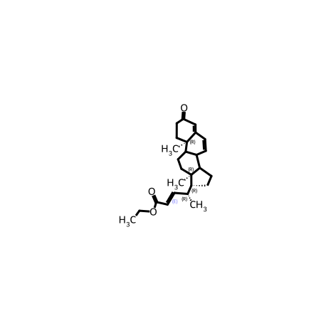 CCOC(=O)/C=C/[C@@H](C)[C@H]1CCC2C3C=CC4=CC(=O)CC[C@]4(C)C3CC[C@@]21C